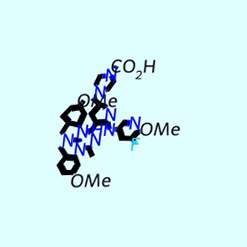 COc1ccc(CN(Cc2ccc(OC)cc2)c2nc(C)nc(-c3cc(CN4CCN(C(=O)O)CC4)cnc3Nc3cnc(OC)c(F)c3)n2)cc1